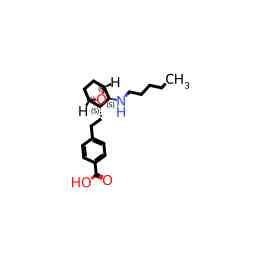 CCCCCN[C@H]1[C@H](CCc2ccc(C(=O)O)cc2)[C@@H]2CC[C@H]1O2